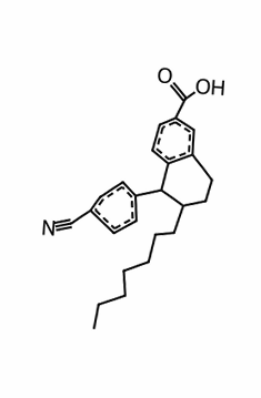 CCCCCCCC1CCc2cc(C(=O)O)ccc2C1c1ccc(C#N)cc1